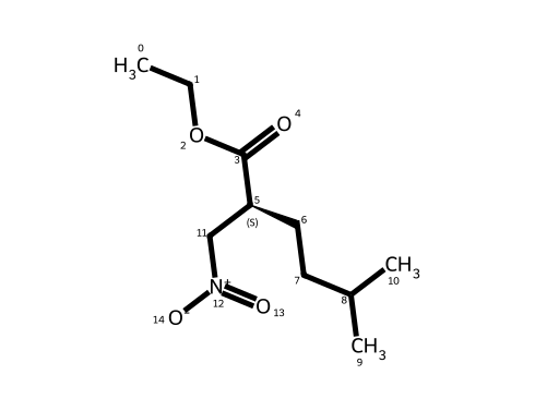 CCOC(=O)[C@@H](CCC(C)C)C[N+](=O)[O-]